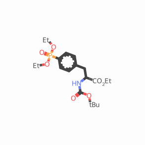 CCOC(=O)C(Cc1ccc(P(=O)(OCC)OCC)cc1)NC(=O)OC(C)(C)C